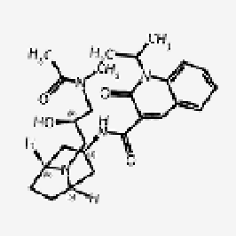 CC(=O)N(C)C[C@H](O)CN1[C@@H]2CC[C@H]1C[C@H](NC(=O)c1cc3ccccc3n(C(C)C)c1=O)C2